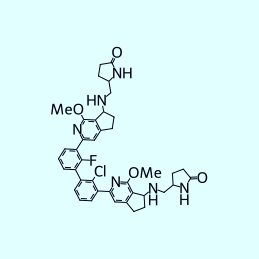 COc1nc(-c2cccc(-c3cccc(-c4cc5c(c(OC)n4)C(NCC4CCC(=O)N4)CC5)c3Cl)c2F)cc2c1C(NCC1CCC(=O)N1)CC2